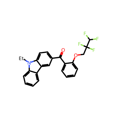 CCn1c2ccccc2c2cc(C(=O)c3ccccc3OCC(F)(F)C(F)F)ccc21